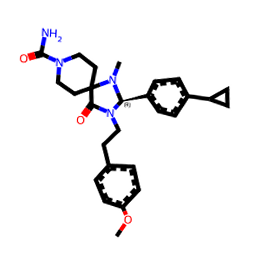 COc1ccc(CCN2C(=O)C3(CCN(C(N)=O)CC3)N(C)[C@H]2c2ccc(C3CC3)cc2)cc1